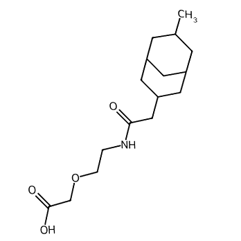 CC1CC2CC(CC(=O)NCCOCC(=O)O)CC(C1)C2